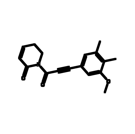 COc1cc(C#CC(=O)N2CCC=CC2=O)cc(C)c1C